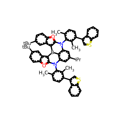 Cc1ccc(-c2csc3ccccc23)c(C)c1N1c2cc(C(C)C)cc3c2B(c2c1oc1ccc(C(C)(C)C)cc21)c1c(oc2ccc(C(C)(C)C)cc12)N3c1c(C)ccc(-c2csc3ccccc23)c1C